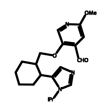 COc1cc(C=O)c(OCC2CCCCC2c2cncn2C(C)C)cn1